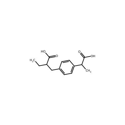 CCC(Cc1ccc(C(C)C(=O)O)cc1)C(=O)O